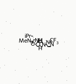 CNC(=O)[C@H](CC(C)C)N[C@H]1CC[C@@H]2CN(c3ccnc(C(F)(F)F)n3)C[C@@H]21